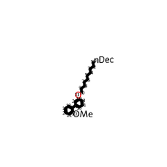 CCCCCCCCCCCCCCCCCCCCOc1[c]ccc(-c2ccccc2OC)c1